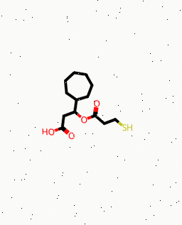 O=C(O)CC(OC(=O)CCS)C1CCCCCC1